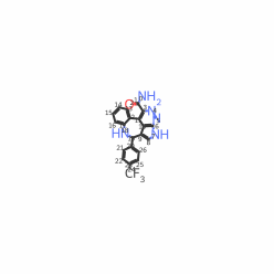 NC(=O)c1nnc2[nH]cc3c2c1-c1ccccc1NC3c1ccc(C(F)(F)F)cc1